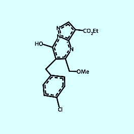 CCOC(=O)c1cnn2c(O)c(Cc3ccc(Cl)cc3)c(COC)nc12